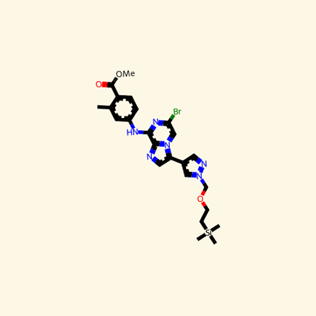 COC(=O)c1ccc(Nc2nc(Br)cn3c(-c4cnn(COCC[Si](C)(C)C)c4)cnc23)cc1C